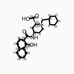 O=C(N[C@@H]1CCN(CC2CCCCC2)[C@H](C(=O)O)C1)c1ccc2ccccc2c1O